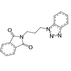 O=C1c2ccccc2C(=O)N1CCCn1nnc2ccccc21